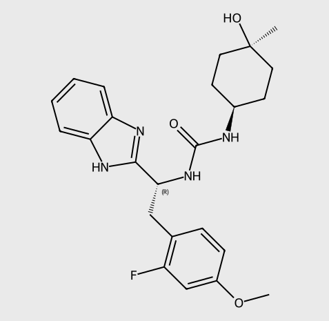 COc1ccc(C[C@@H](NC(=O)N[C@H]2CC[C@@](C)(O)CC2)c2nc3ccccc3[nH]2)c(F)c1